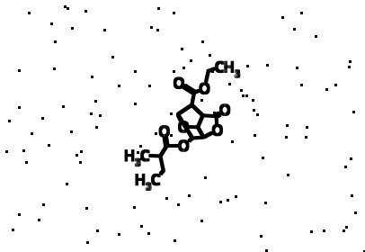 CCOC(=O)C1C2OC3C(OC(=O)C31)C2OC(=O)C(C)CC